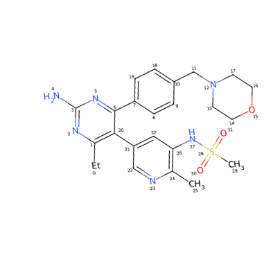 CCc1nc(N)nc(-c2ccc(CN3CCOCC3)cc2)c1-c1cnc(C)c(NS(C)(=O)=O)c1